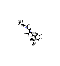 C=C(F)/C(=C\C=C(/C)C#CCO)NC(=O)[C@H]1CCCC[C@@H]1C(=O)OC